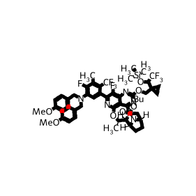 COc1ccc(CN(Cc2ccc(OC)cc2)c2cc(-c3nc4c5c(nc(OCC6(C(O[Si](C)(C)C)C(F)(F)F)CC6)nc5c3F)N3C[C@H]5CC[C@@H]([C@H]3[C@H](C)O4)N5C(=O)OC(C)(C)C)c(C(F)(F)F)c(C)c2F)cc1